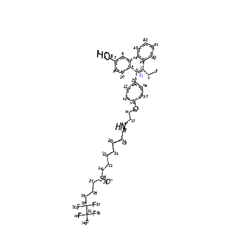 CC/C(=C(/c1ccc(O)cc1)c1ccc(OCCNCCCCCC[S+]([O-])CCCC(F)(F)C(F)(F)F)cc1)c1ccccc1